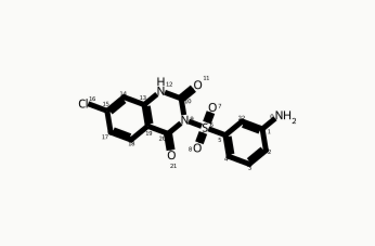 Nc1cccc(S(=O)(=O)n2c(=O)[nH]c3cc(Cl)ccc3c2=O)c1